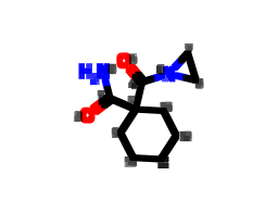 NC(=O)C1(C(=O)N2CC2)CC[CH]CC1